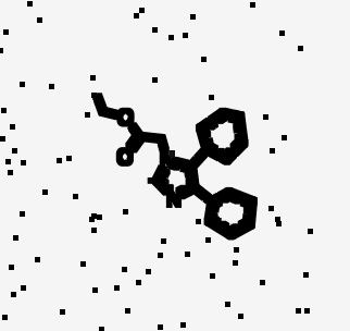 CCOC(=O)Cn1[c]nc(-c2ccccc2)c1-c1ccccc1